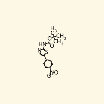 CC(C)(C)OC(=O)Nc1ncc(-c2ccc([N+](=O)[O-])cc2)s1